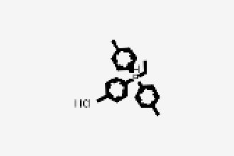 CC[PH](c1ccc(C)cc1)(c1ccc(C)cc1)c1ccc(C)cc1.Cl